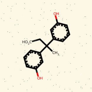 CC(CC(=O)O)(c1cccc(O)c1)c1cccc(O)c1